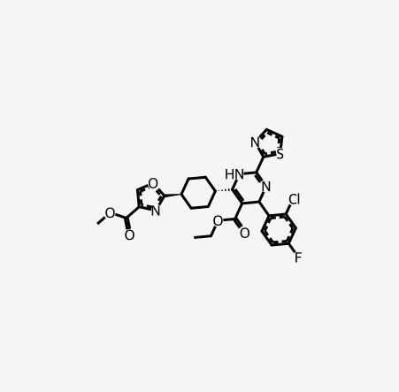 CCOC(=O)C1=C([C@H]2CC[C@H](c3nc(C(=O)OC)co3)CC2)NC(c2nccs2)=NC1c1ccc(F)cc1Cl